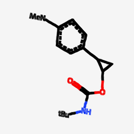 CNc1ccc(C2CC2OC(=O)NC(C)(C)C)cc1